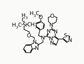 COc1ccc(CN(Cc2nc3ccccc3n2COCC[Si](C)(C)C)c2nc(N3CCOCC3)nc3c(-c4cncs4)cnn23)cc1